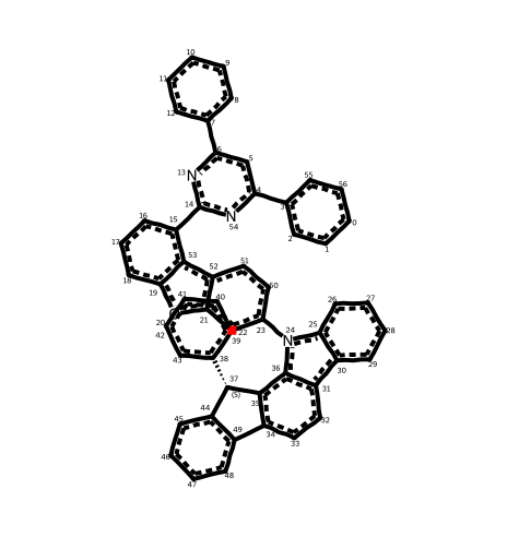 c1ccc(-c2cc(-c3ccccc3)nc(-c3cccc4oc5cc(-n6c7ccccc7c7ccc8c(c76)[C@@H](c6ccccc6)c6ccccc6-8)ccc5c34)n2)cc1